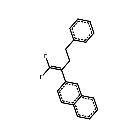 FC(F)=C(CCc1ccccc1)c1ccc2ccccc2c1